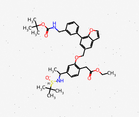 CCOC(=O)Cc1ccc(C(C)N[S@@+]([O-])C(C)(C)C)cc1OCc1cc(-c2cccc(CNC(=O)OC(C)(C)C)c2)c2occc2c1